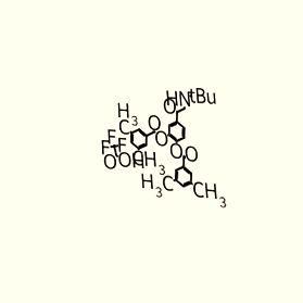 Cc1cc(C)cc(C(=O)Oc2ccc(C(=O)CNC(C)(C)C)cc2OC(=O)c2cc(C)cc(C)c2)c1.O=C(O)C(F)(F)F